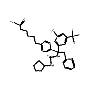 Cc1cc(C(F)(F)F)cc(C(Cc2ccccc2)(NC(=O)NC2CCCC2)c2ccc(CCCCCC(=O)O)cc2)c1